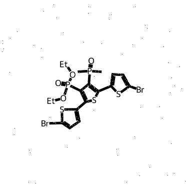 CCOP(=O)(OCC)c1c(-c2ccc(Br)s2)sc(-c2ccc(Br)s2)c1P(C)(C)=O